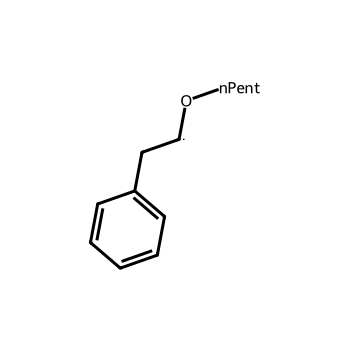 CCCCCO[CH]Cc1ccccc1